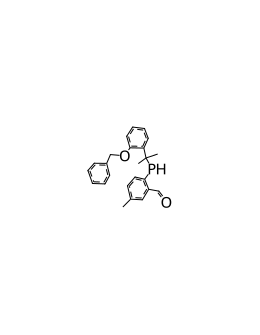 Cc1ccc(PC(C)(C)c2ccccc2OCc2ccccc2)c(C=O)c1